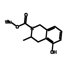 CC1Cc2c(O)cccc2CN1C(=O)OC(C)(C)C